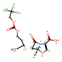 CC(CCOC(=O)OCC(Cl)(Cl)Cl)S[C@@H]1C(=O)N2C(C(=O)O)=CO[C@H]12